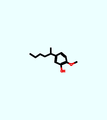 CCCCC(C)c1ccc(OC)c(O)c1